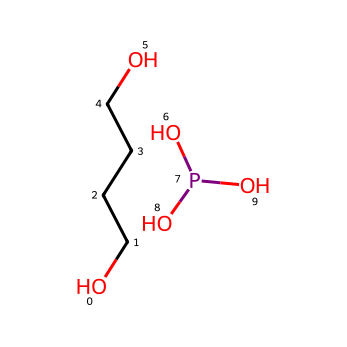 OCCCCO.OP(O)O